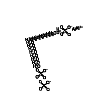 O.O.O.O.O.O.O.O.O.O.O.O.O.O.O.O.O.O=S(=O)([O-])[O-].O=S(=O)([O-])[O-].O=S(=O)([O-])[O-].[Al+3].[Al+3]